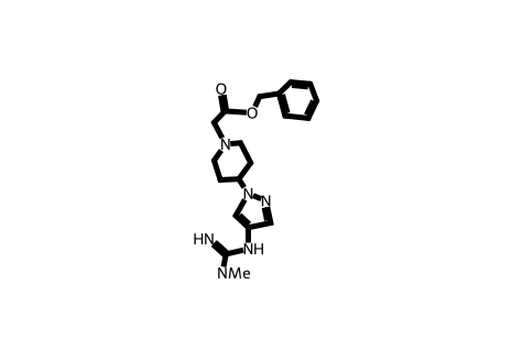 CNC(=N)Nc1cnn(C2CCN(CC(=O)OCc3ccccc3)CC2)c1